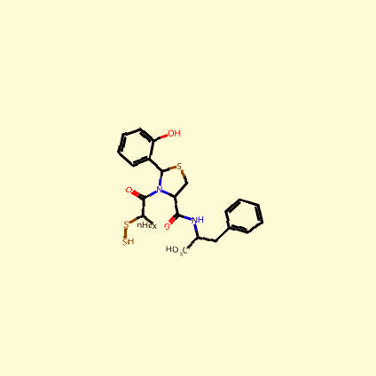 CCCCCCC(SS)C(=O)N1C(C(=O)NC(Cc2ccccc2)C(=O)O)CSC1c1ccccc1O